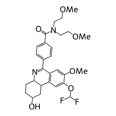 COCCN(CCOC)C(=O)c1ccc(C2=NC3CCC(O)CC3c3cc(OC(F)F)c(OC)cc32)cc1